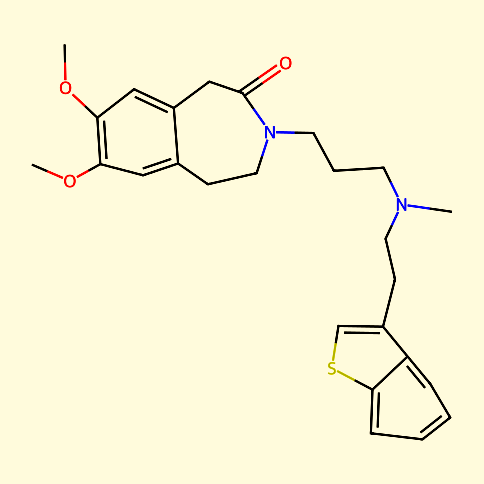 COc1cc2c(cc1OC)CC(=O)N(CCCN(C)CCc1csc3ccccc13)CC2